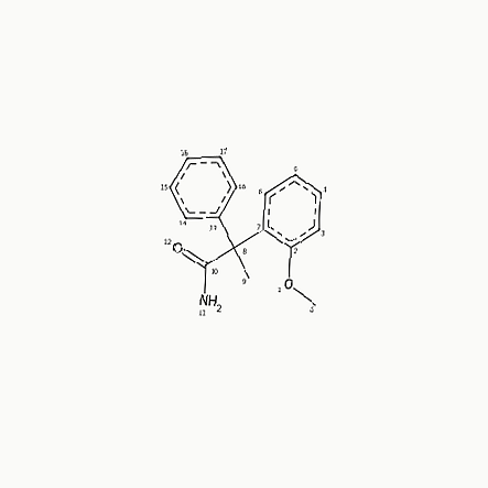 COc1ccccc1C(C)(C(N)=O)c1ccccc1